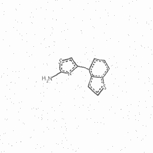 Nc1nc(-c2cccc3sccc23)cs1